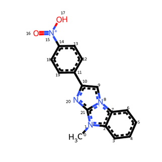 Cn1c2ccccc2n2cc(-c3ccc([N+](=O)O)cc3)nc12